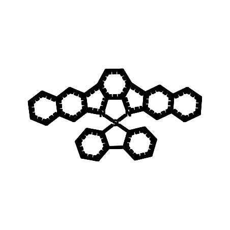 c1ccc2c(c1)-c1ccccc1[Si]21n2c3cc4ccccc4cc3c3ccc4c5cc6ccccc6cc5n1c4c32